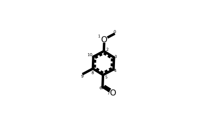 COc1ccc([C]=O)c(C)c1